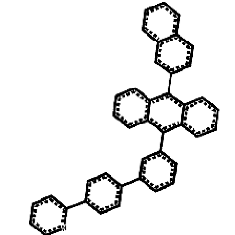 c1ccc(-c2ccc(-c3cccc(-c4c5ccccc5c(-c5ccc6ccccc6c5)c5ccccc45)c3)cc2)nc1